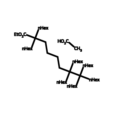 CC(=O)O.CCCCCCC(CCCCCC)(CCCCC(CCCCCC)(CCCCCC)C(CCCCCC)(CCCCCC)CCCCCC)C(=O)OCC